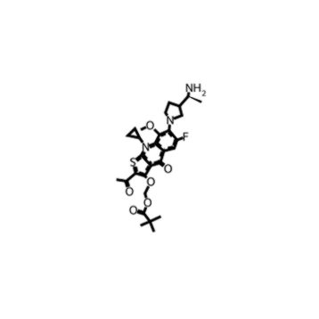 COc1c(N2CCC([C@H](C)N)C2)c(F)cc2c(=O)c3c(OCOC(=O)C(C)(C)C)c(C(C)=O)sc3n(C3CC3)c12